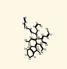 C=C/C=N\C=C\C(C/C=C\C)N(/C(C=C)=C/C=C\C)C(=C/CC)/C(/C=C\C)=C1\CC2=C(CCCC2)C1C